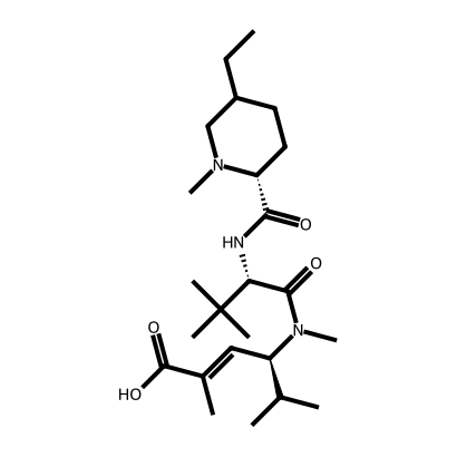 CCC1CC[C@H](C(=O)N[C@H](C(=O)N(C)[C@H](/C=C(\C)C(=O)O)C(C)C)C(C)(C)C)N(C)C1